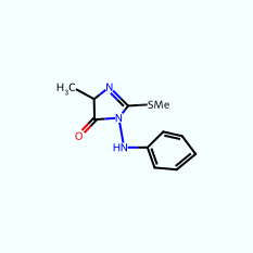 CSC1=NC(C)C(=O)N1Nc1ccccc1